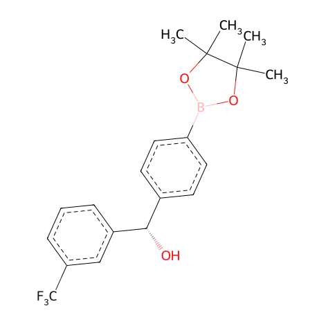 CC1(C)OB(c2ccc([C@H](O)c3cccc(C(F)(F)F)c3)cc2)OC1(C)C